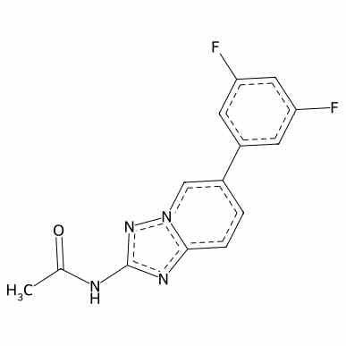 CC(=O)Nc1nc2ccc(-c3cc(F)cc(F)c3)cn2n1